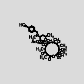 C#Cc1ccc(CN(C)[C@H]2C[C@@H](C)O[C@@H](O[C@@H]3[C@@H](C)C(=O)[C@@H](C)C(=O)O[C@H](CC)[C@@](C)(O)[C@H](O)[C@@H](C)C(=O)[C@H](C)C[C@@]3(C)OC)[C@H]2OC(C)=O)cc1